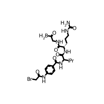 BC(=O)CNC(=O)[C@H](CCCNC(N)=O)NC(=O)C(NC(=O)c1ccc(NC(=O)CBr)cc1)C(C)C